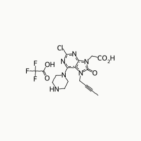 CC#CCn1c(=O)n(CC(=O)O)c2nc(Cl)nc(N3CCNCC3)c21.O=C(O)C(F)(F)F